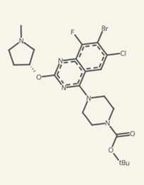 CN1CC[C@@H](Oc2nc(N3CCN(C(=O)OC(C)(C)C)CC3)c3cc(Cl)c(Br)c(F)c3n2)C1